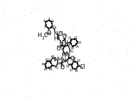 COc1ccccc1CNC(=O)CN1C(=O)N(c2ccccc2)C2(CCN(C(=O)[C@@H](Cc3ccc(Cl)cc3)NC(=O)[C@H]3Cc4ccccc4CN3)CC2)C1=O